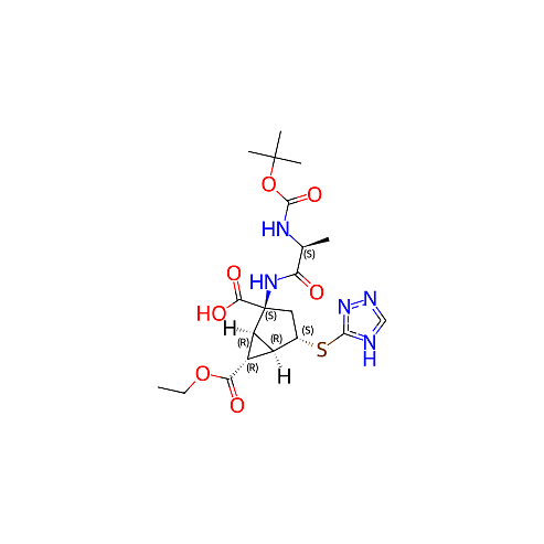 CCOC(=O)[C@H]1[C@H]2[C@@H]1[C@](NC(=O)[C@H](C)NC(=O)OC(C)(C)C)(C(=O)O)C[C@@H]2Sc1nnc[nH]1